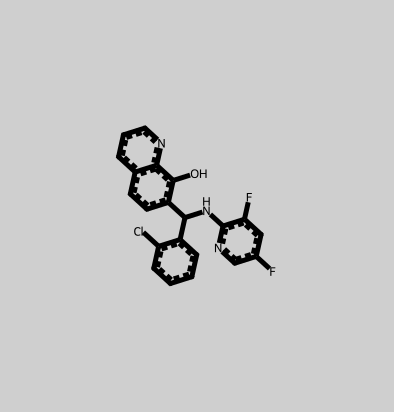 Oc1c(C(Nc2ncc(F)cc2F)c2ccccc2Cl)ccc2cccnc12